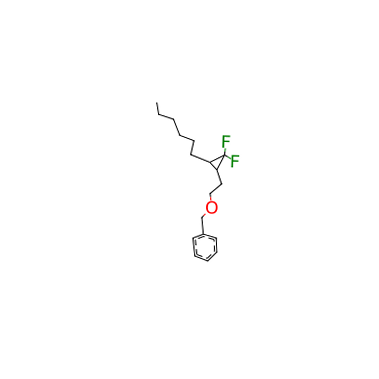 CCCCCCC1C(CCOCc2ccccc2)C1(F)F